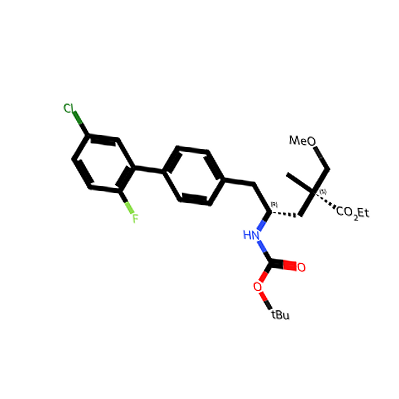 CCOC(=O)[C@](C)(COC)C[C@@H](Cc1ccc(-c2cc(Cl)ccc2F)cc1)NC(=O)OC(C)(C)C